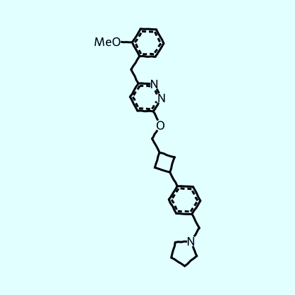 COc1ccccc1Cc1ccc(OCC2CC(c3ccc(CN4CCCC4)cc3)C2)nn1